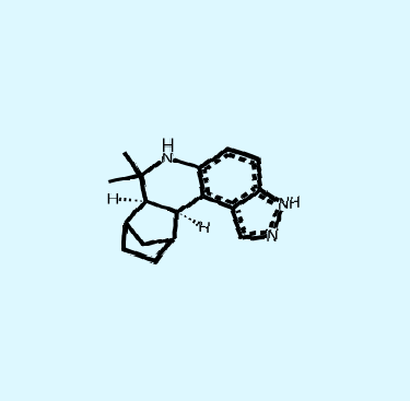 CC1(C)Nc2ccc3[nH]ncc3c2[C@H]2C3CCC(C3)[C@H]21